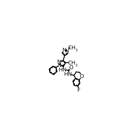 Cc1c(-c2cnn(C)c2)nn(-c2ccccc2)c1NC(=O)NC1CCOc2cc(F)ccc21